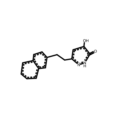 O=c1[nH]nc(CCc2ccc3ccccc3c2)cc1O